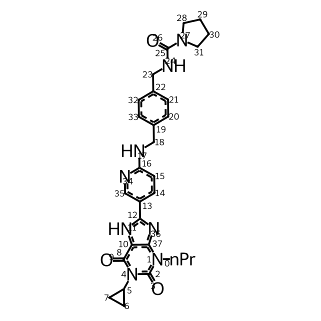 CCCn1c(=O)n(C2CC2)c(=O)c2[nH]c(-c3ccc(NCc4ccc(CNC(=O)N5CCCC5)cc4)nc3)nc21